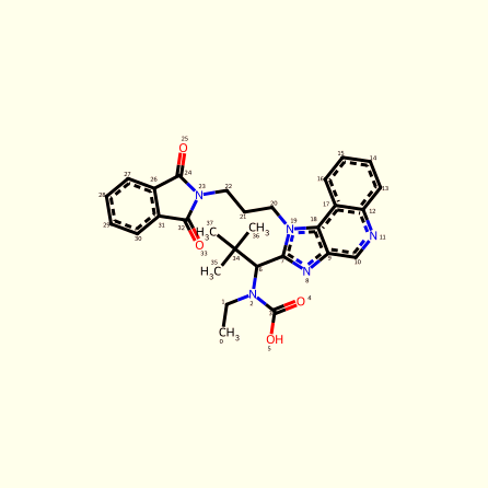 CCN(C(=O)O)C(c1nc2cnc3ccccc3c2n1CCCN1C(=O)c2ccccc2C1=O)C(C)(C)C